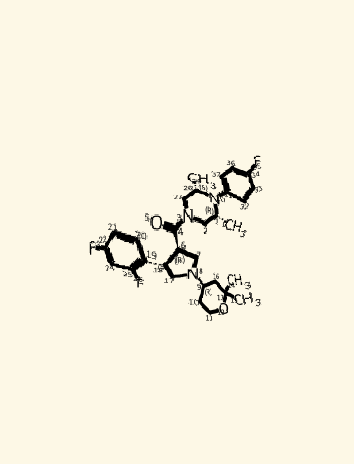 C[C@@H]1CN(C(=O)[C@H]2CN([C@@H]3CCOC(C)(C)C3)C[C@@H]2c2ccc(F)cc2F)C[C@H](C)N1c1ccc(F)cc1